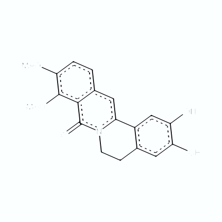 COc1ccc2cc3n(c(=O)c2c1OC)CCc1cc(O)c(O)cc1-3